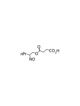 CCCC(COC(=O)CCC(=O)O)N=O